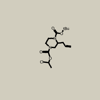 C=CCC1CN(C(=O)OC(C)Cl)CCN1C(=O)OC(C)(C)C